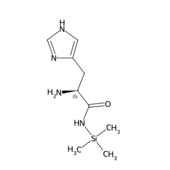 C[Si](C)(C)NC(=O)[C@@H](N)Cc1c[nH]cn1